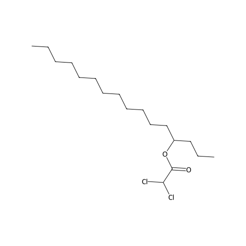 CCCCCCCCCCCCC(CCC)OC(=O)C(Cl)Cl